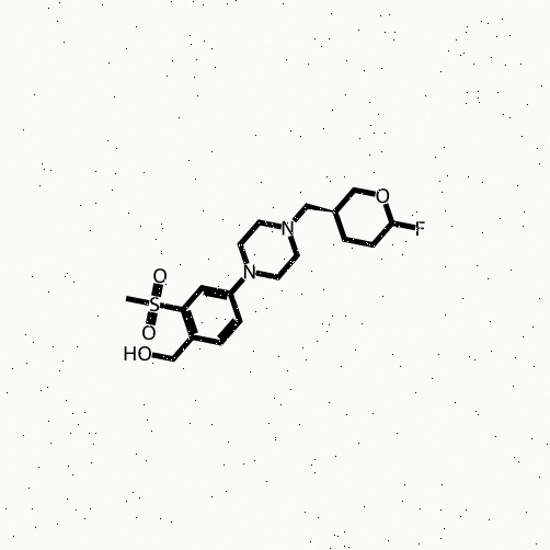 CS(=O)(=O)c1cc(N2CCN(C[C@@H]3CCC(F)OC3)CC2)ccc1CO